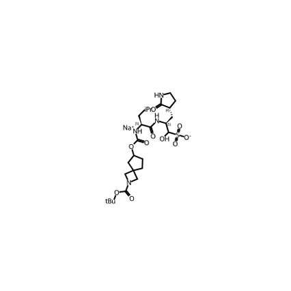 CC(C)C[C@H](NC(=O)OC1CCC2(C1)CN(C(=O)OC(C)(C)C)C2)C(=O)N[C@@H](C[C@H]1CCNC1=O)C(O)S(=O)(=O)[O-].[Na+]